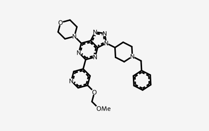 COCOc1cncc(-c2nc(N3CCOCC3)c3nnn(C4CCN(Cc5ccccc5)CC4)c3n2)c1